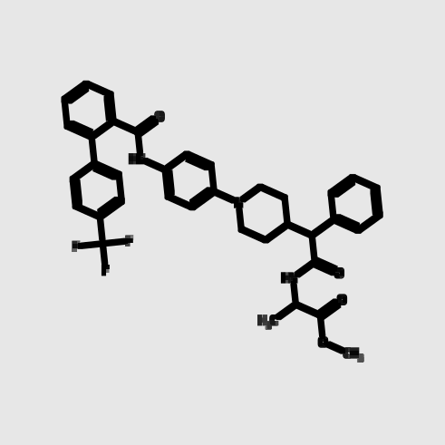 COC(=O)C(C)NC(=O)C(c1ccccc1)C1CCN(c2ccc(NC(=O)c3ccccc3-c3ccc(C(F)(F)F)cc3)cc2)CC1